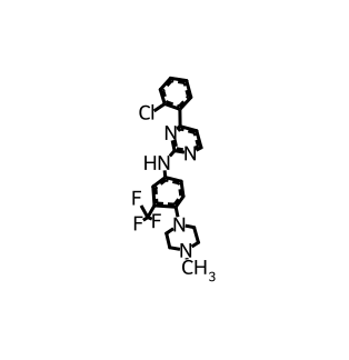 CN1CCN(c2ccc(Nc3nccc(-c4ccccc4Cl)n3)cc2C(F)(F)F)CC1